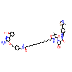 Cc1ncsc1-c1ccc(CNC(=O)[C@@H]2C[C@@H](O)CN2C(=O)[C@@H](NC(=O)CCCCCCCCCCCCCCC(=O)NCc2ccc(CCOc3cc(-c4ccccc4O)nnc3N)cc2)C(C)(C)C)cc1